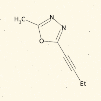 CCC#Cc1nnc(C)o1